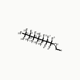 CCOC(F)(F)C(F)(F)C(F)(F)C(F)(F)C(F)(F)C(F)(F)C(F)(F)F